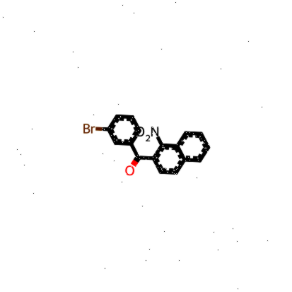 O=C(c1cccc(Br)c1)c1ccc2ccccc2c1[N+](=O)[O-]